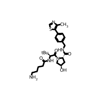 Cc1ncsc1-c1ccc(CNC(=O)[C@@H]2C[C@@H](O)CN2C(=O)[C@@H](NC(=O)CCCCN)C(C)(C)C)cc1